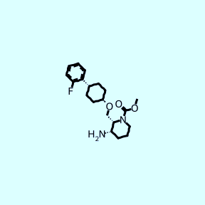 COC(=O)N1CCC[C@H](N)[C@@H]1CO[C@H]1CC[C@@H](c2ccccc2F)CC1